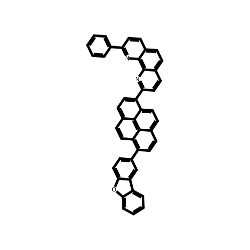 c1ccc(-c2ccc3ccc4ccc(-c5ccc6ccc7c(-c8ccc9oc%10ccccc%10c9c8)ccc8ccc5c6c87)nc4c3n2)cc1